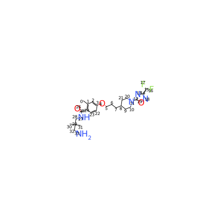 Cc1cc(OCCCC2CCN(c3nc(C(F)F)no3)CC2)ccc1C(=O)NCC(C)(C)CN